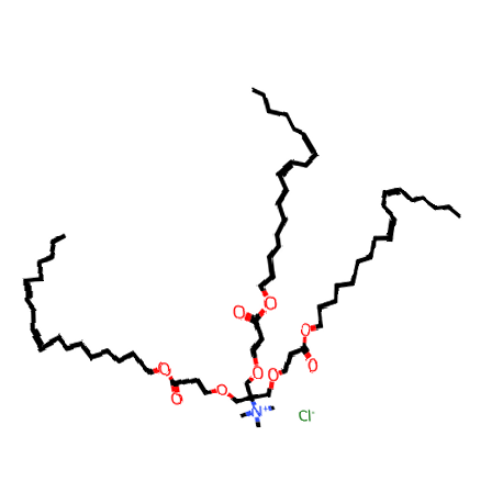 CCCCC/C=C\C/C=C\CCCCCCCCOC(=O)CCOCC(COCCC(=O)OCCCCCCCC/C=C\C/C=C\CCCCC)(COCCC(=O)OCCCCCCCC/C=C\C/C=C\CCCCC)[N+](C)(C)C.[Cl-]